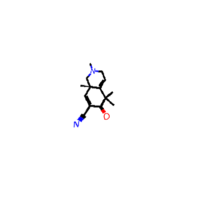 CN1CC=C2C(C)(C)C(=O)C(C#N)=C[C@]2(C)C1